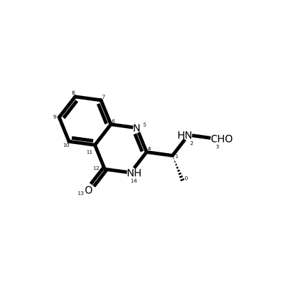 C[C@@H](NC=O)c1nc2ccccc2c(=O)[nH]1